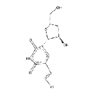 O=c1[nH]c(=O)n([C@@H]2O[C@H](CO)C[C@H]2O)cc1/C=C/Cl